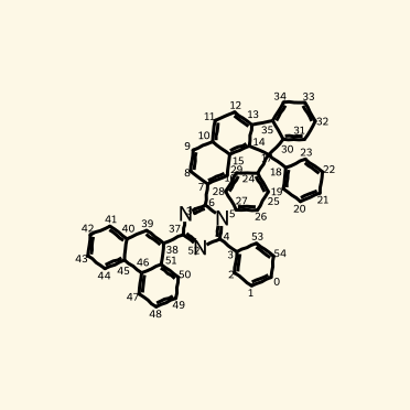 c1ccc(-c2nc(-c3ccc4ccc5c(c4c3)C(c3ccccc3)(c3ccccc3)c3ccccc3-5)nc(-c3cc4ccccc4c4ccccc34)n2)cc1